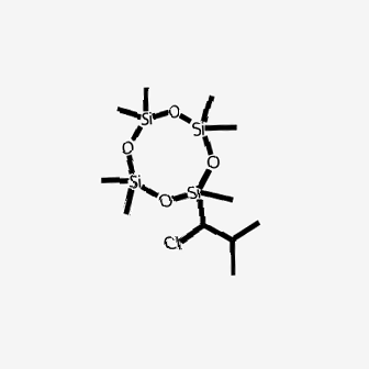 CC(C)C(Cl)[Si]1(C)O[Si](C)(C)O[Si](C)(C)O[Si](C)(C)O1